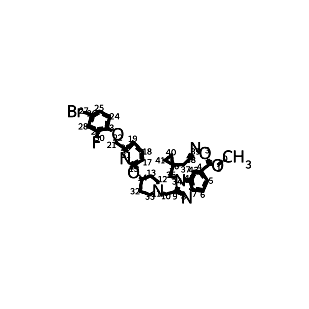 COC(=O)c1ccc2nc(CN3CCC(Oc4cccc(COc5ccc(Br)cc5F)n4)CC3)n(CC3(CC#N)CC3)c2c1